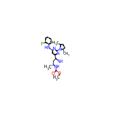 COC(=O)N[C@H](C)CC(=N)c1cc(Nc2ccccc2F)nc(-n2c(C)ccc2C)n1